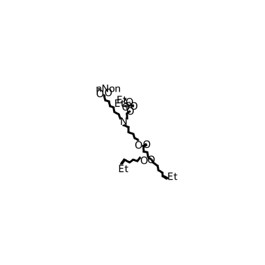 CC/C=C\CCCCOC(CCC(=O)OCCCCCCN(CCCCCCCC(=O)OCCCCCCCCC)CCOP(=O)(OCC)OCC)OCCCC/C=C\CC